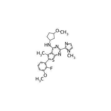 COc1cccc(-c2sc3nc(-c4nccn4C)nc(NC4CCC(OC)C4)c3c2C)c1F